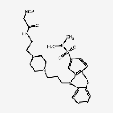 CNCC(=O)NCCN1CCN(CCCN2c3ccccc3Sc3ccc(S(=O)(=O)N(C)C)cc32)CC1